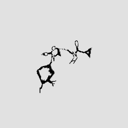 O=C(NC[C@@H]1CN(c2ccc(I)c(F)c2)C(=O)O1)C1CC1